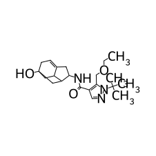 CCOCc1c(C(=O)NC2CC3=CCC4(O)CC3C2C4)cnn1C(C)(C)C